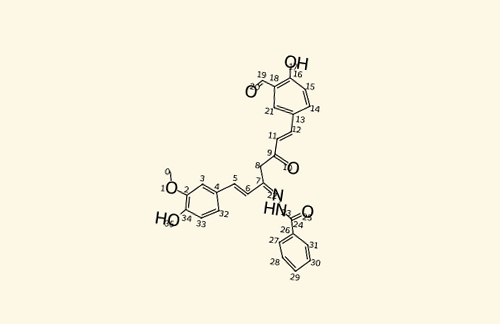 COc1cc(/C=C/C(CC(=O)/C=C/c2ccc(O)c(C=O)c2)=N\NC(=O)c2ccccc2)ccc1O